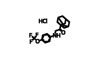 Cl.O=C(CNc1ccc(OC(F)(F)F)cc1)C12CC3CC(CC(C3)C1)C2